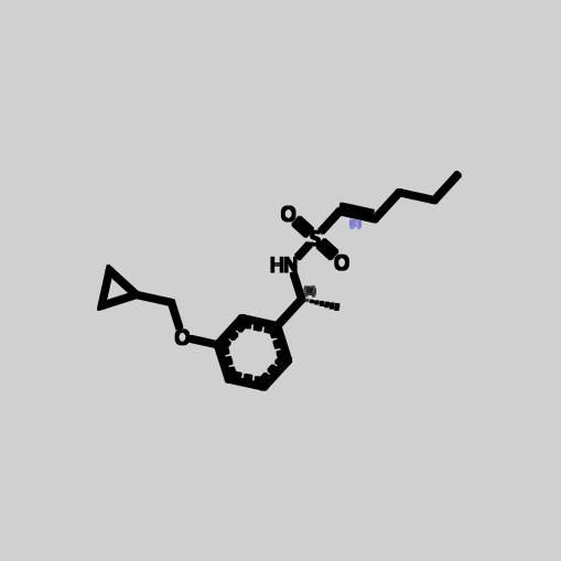 CCC/C=C/S(=O)(=O)N[C@H](C)c1cccc(OCC2CC2)c1